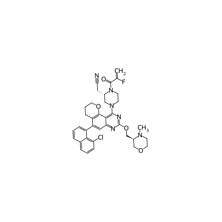 C=C(F)C(=O)N1CCN(c2nc(OC[C@@H]3COCCN3C)nc3cc(-c4cccc5cccc(Cl)c45)c4c(c23)OCCC4)C[C@@H]1CC#N